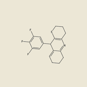 Fc1cc(C2C3=CCCCC3=NC3=C2SCCC3)cc(F)c1F